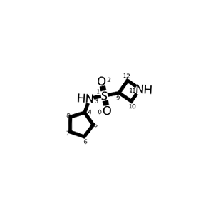 O=S(=O)(NC1CCCC1)C1CNC1